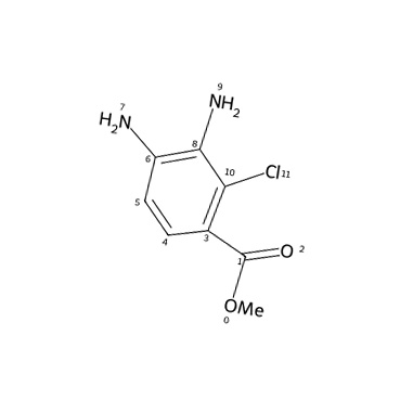 COC(=O)c1ccc(N)c(N)c1Cl